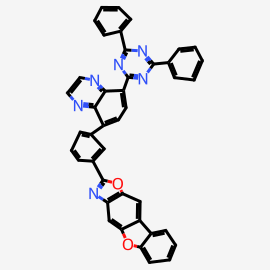 c1ccc(-c2nc(-c3ccccc3)nc(-c3ccc(-c4cccc(-c5nc6cc7oc8ccccc8c7cc6o5)c4)c4nccnc34)n2)cc1